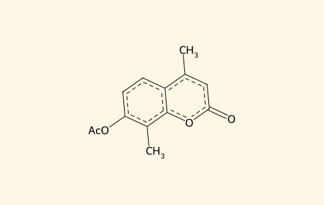 CC(=O)Oc1ccc2c(C)cc(=O)oc2c1C